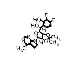 Cc1ncnc2c1ccn2[C@@H]1O[C@H]([C@H](O)c2ccc(F)c(F)c2O)[C@H]2OC(C)(C)O[C@H]21